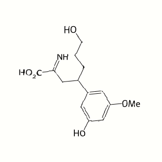 COc1cc(O)cc(C(CCCO)CC(=N)C(=O)O)c1